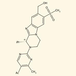 CC(=O)c1cnc(N2CCn3c(nc4cc(CO)c(S(C)(=O)=O)cc43)[C@H]2C(C)C)nc1C